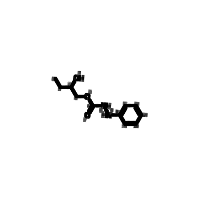 CCC(O)COC(=O)NNc1ccccc1